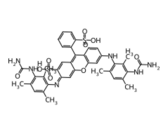 Cc1cc(C)c(NC(N)=O)c(C)c1/N=c1/cc2oc3cc(Nc4c(C)cc(C)c(NC(N)=O)c4C)ccc3c(-c3ccccc3S(=O)(=O)O)c-2cc1S(=O)(=O)O